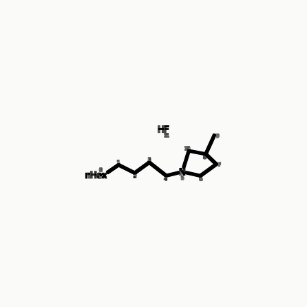 CCCCCCCCCCN1CCC(C)C1.F